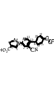 N#Cc1cc(-n2cc(C(=O)O)cn2)ncc1-c1ccc(OC(F)(F)F)cc1